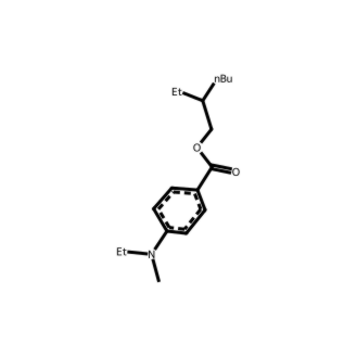 CCCCC(CC)COC(=O)c1ccc(N(C)CC)cc1